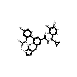 N=c1occn1Cc1cc(C(=O)N[C@H](c2ccc(Cl)c(Cl)c2)C2CC2)cc(-c2ccc(F)cc2OC(F)F)c1